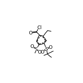 CCc1cc(S(=O)(=O)C(C)(C)C)c(S(C)(=O)=O)cc1C(=O)Cl